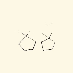 CC1(C(=O)[O-])CCCC1.CC1(C(=O)[O-])CCCC1.[Cd+2]